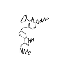 CNCc1c[nH]c2cc(Cc3ccc(OC)nc3Cl)ccc12